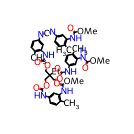 CCC(COC(=O)Nc1ccc(C)c(NC(=O)OC)c1)(COC(=O)Nc1ccc(C)c(NC(=O)OC)c1)COC(=O)Nc1cc(N=C=Nc2ccc(C)c(NC(=O)OC)c2)ccc1C